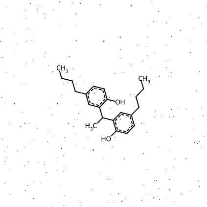 CCCCc1ccc(O)c(C(C)c2cc(CCCC)ccc2O)c1